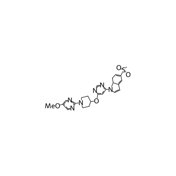 COc1cnc(N2CCC(Oc3cc(N4C=CC5=CC(S(C)(=O)=O)=CCC54)ncn3)CC2)nc1